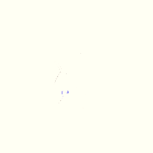 CC/C=C\C(CC)=C1/c2cc(C)cc(C)c2CN1C